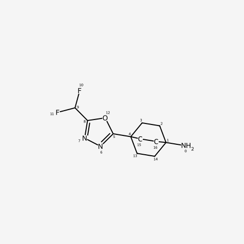 NC12CCC(c3nnc(C(F)F)o3)(CC1)CC2